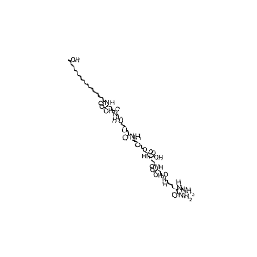 C=C(O)CCCCCCCCCCCCCCCCC(=O)N[C@@H](CCC(=O)NCCOCCOCC(=O)NCCOCCOCC(=O)N[C@@H](CCC(=O)N[C@@H](CCC(=O)NCCCC[C@H](NN)C(N)=O)C(=O)O)C(=O)O)C(=O)O